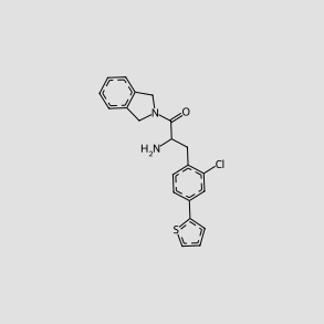 NC(Cc1ccc(-c2cccs2)cc1Cl)C(=O)N1Cc2ccccc2C1